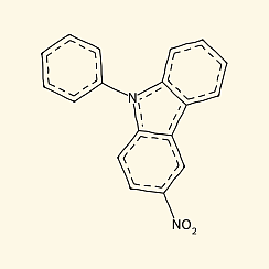 O=[N+]([O-])c1ccc2c(c1)c1ccccc1n2-c1ccccc1